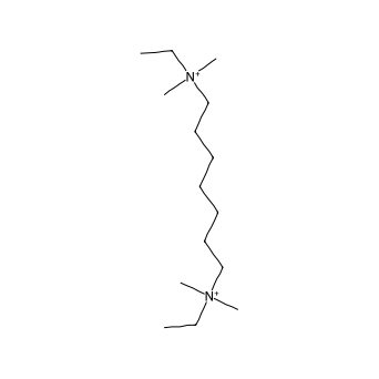 CC[N+](C)(C)CCCCCCC[N+](C)(C)CC